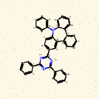 c1ccc(-c2nc(-c3ccccc3)nc(-c3ccc4c(c3)-c3ccccc3-c3ccccc3N4c3ccccc3)n2)cc1